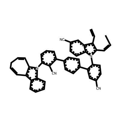 C=Cc1c(/C=C\C)n(-c2ccc(C#N)cc2-c2ccc(-c3cccc(-n4c5c(c6ccccc64)C=CCC=C5)c3C#N)cc2)c2ccc(C#N)cc12